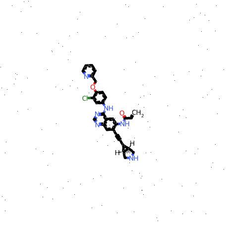 C=CC(=O)Nc1cc2c(Nc3ccc(OCc4ccccn4)c(Cl)c3)ncnc2cc1C#CC1[C@H]2CNC[C@@H]12